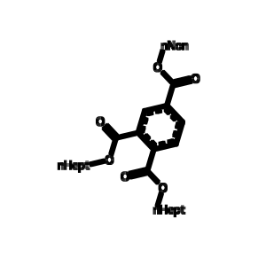 CCCCCCCCCOC(=O)c1ccc(C(=O)OCCCCCCC)c(C(=O)OCCCCCCC)c1